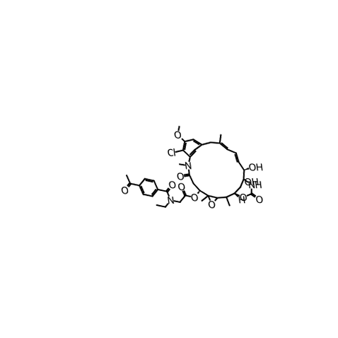 CCN(CC(=O)O[C@H]1CC(=O)N(C)c2cc(cc(OC)c2Cl)C/C(C)=C/C=C/[C@@H](O)[C@@]2(O)C[C@H](OC(=O)N2)C(C)C2OC21C)C(=O)c1ccc(C(C)=O)cc1